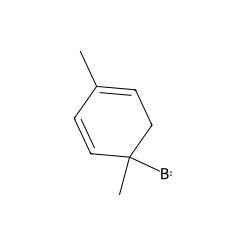 [B]C1(C)C=CC(C)=CC1